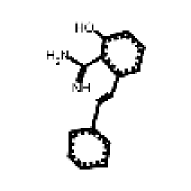 N=C(N)c1c(O)cccc1C=Cc1ccccc1